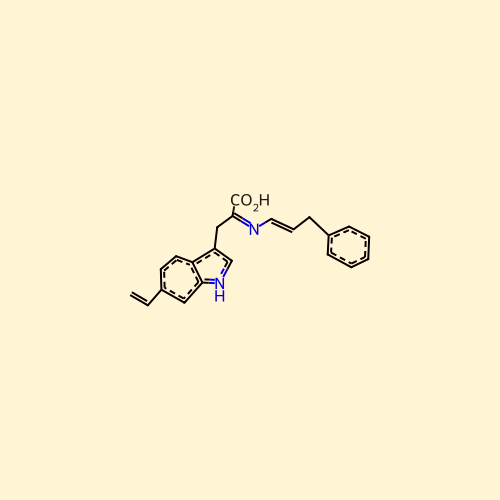 C=Cc1ccc2c(CC(=NC=CCc3ccccc3)C(=O)O)c[nH]c2c1